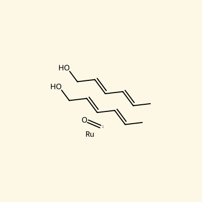 CC=CC=CCO.CC=CC=CCO.[C]=O.[Ru]